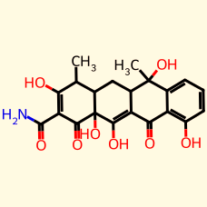 CC1C(O)=C(C(N)=O)C(=O)C2(O)C(O)=C3C(=O)c4c(O)cccc4C(C)(O)C3CC12